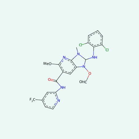 COc1nc2c(cc1C(=O)Nc1cc(C(F)(F)F)ccn1)N(OC=O)C(Nc1c(Cl)cccc1Cl)N2C